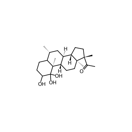 CC(=O)[C@@]1(C)CC[C@H]2[C@@H]3C[C@@H](C)C4CCC(O)C(O)(O)[C@]4(C)[C@H]3CC[C@@]21C